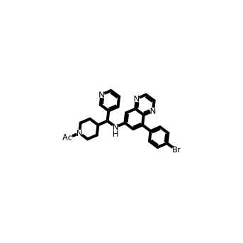 CC(=O)N1CCC(C(Nc2cc(-c3ccc(Br)cc3)c3nccnc3c2)c2cccnc2)CC1